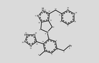 Cc1cc(CC(C)C)cc(N2Cc3n[nH]c(Cc4cccnn4)c3C2)c1-c1nn[nH]n1